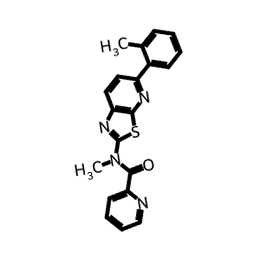 Cc1ccccc1-c1ccc2nc(N(C)C(=O)c3ccccn3)sc2n1